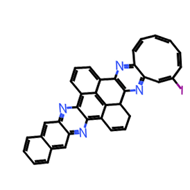 Ic1ccccccc2nc3c(nc2c1)C1CC=Cc2c1c1c-3cccc1c1nc3cc4ccccc4cc3nc21